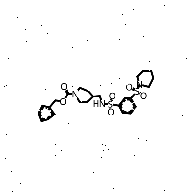 O=C(OCc1ccccc1)N1CCC(CNS(=O)(=O)c2cccc(S(=O)(=O)N3CCCCC3)c2)CC1